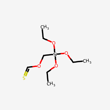 CCO[Si](COC=S)(OCC)OCC